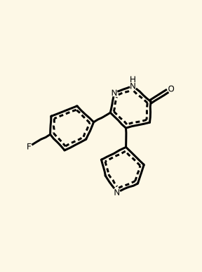 O=c1cc(-c2ccncc2)c(-c2ccc(F)cc2)n[nH]1